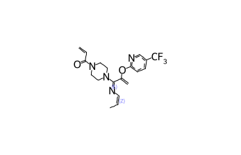 C=CC(=O)N1CCN(/C(=N/C=C\C)C(=C)Oc2ccc(C(F)(F)F)cn2)CC1